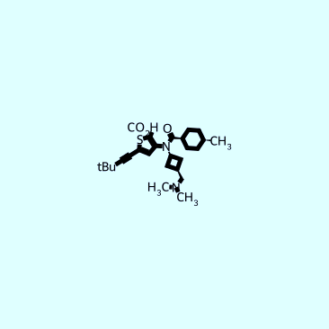 CN(C)C[C@H]1C[C@H](N(c2cc(C#CC(C)(C)C)sc2C(=O)O)C(=O)[C@H]2CC[C@H](C)CC2)C1